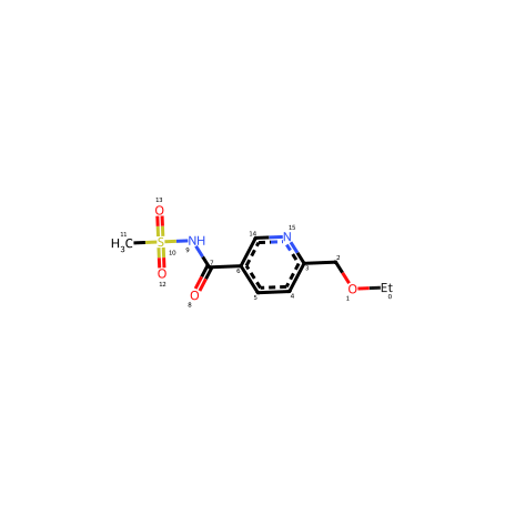 CCOCc1ccc(C(=O)NS(C)(=O)=O)cn1